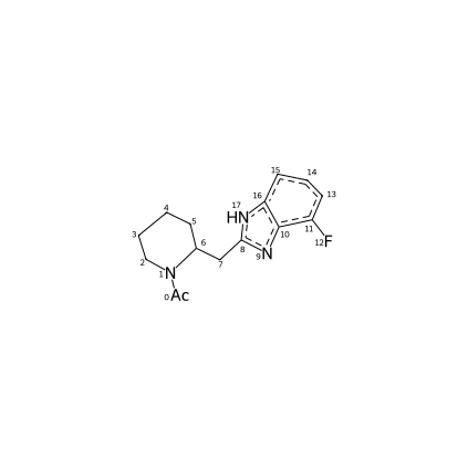 CC(=O)N1CCCCC1Cc1nc2c(F)cccc2[nH]1